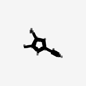 Cc1sc(C#N)cc1Br